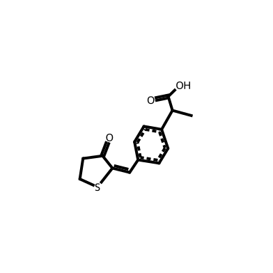 CC(C(=O)O)c1ccc(/C=C2/SCCC2=O)cc1